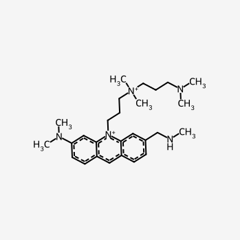 CNCc1ccc2cc3ccc(N(C)C)cc3[n+](CCC[N+](C)(C)CCCN(C)C)c2c1